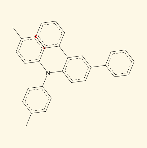 Cc1ccc(N(c2ccc(C)cc2)c2ccc(-c3ccccc3)cc2-c2ccccc2)cc1